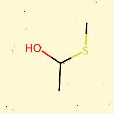 CS[C](C)O